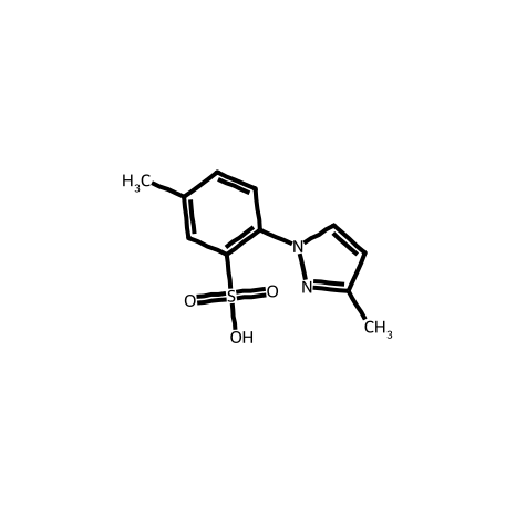 Cc1ccc(-n2ccc(C)n2)c(S(=O)(=O)O)c1